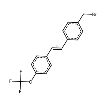 FC(F)(F)Oc1ccc(/C=C/c2ccc(CBr)cc2)cc1